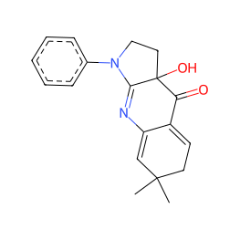 CC1(C)C=C2N=C3N(c4ccccc4)CCC3(O)C(=O)C2=CC1